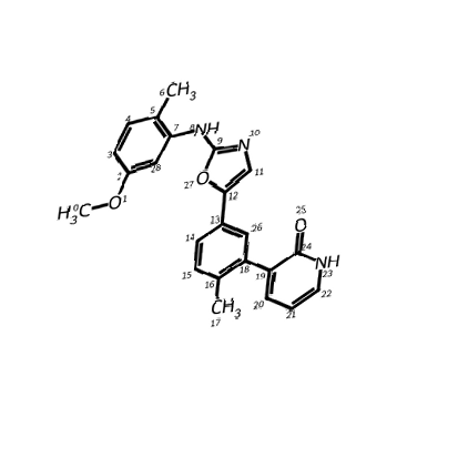 COc1ccc(C)c(Nc2ncc(-c3ccc(C)c(-c4ccc[nH]c4=O)c3)o2)c1